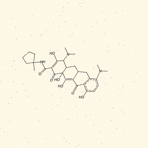 CN(C)c1ccc(O)c2c1CC1CC3C(N(C)C)C(O)=C(C(=O)NC4(C)CCCC4)C(=O)C3(O)C(O)=C1C2=O